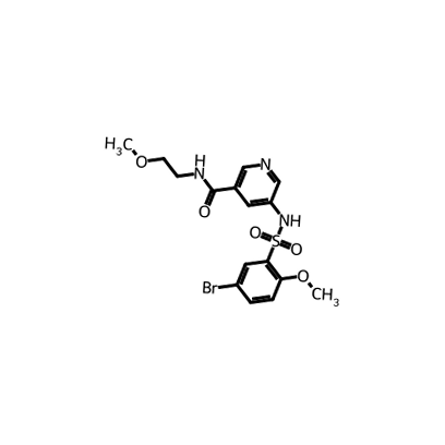 COCCNC(=O)c1cncc(NS(=O)(=O)c2cc(Br)ccc2OC)c1